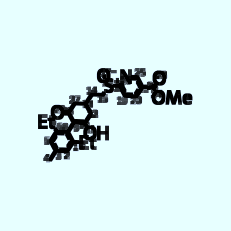 CCc1cc(C)cc(CC)c1C1=C(O)CC(CC[S+]([O-])c2ccc(C(=O)OC)cn2)CC1=O